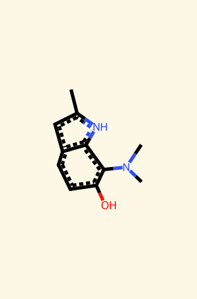 Cc1cc2ccc(O)c(N(C)C)c2[nH]1